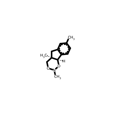 Cc1ccc2c(c1)C[C@]1(C)CON(C)O[C@H]21